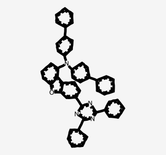 c1ccc(-c2ccc(N(c3ccc(-c4ccccc4)cc3)c3cccc4oc5cc(-c6nc(-c7ccccc7)nc(-c7ccccc7)n6)ccc5c34)cc2)cc1